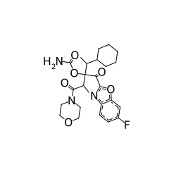 CC(C(=O)N1CCOCC1)C(OC(N)=O)(C(=O)c1nc2ccc(F)cc2o1)C(C)C1CCCCC1